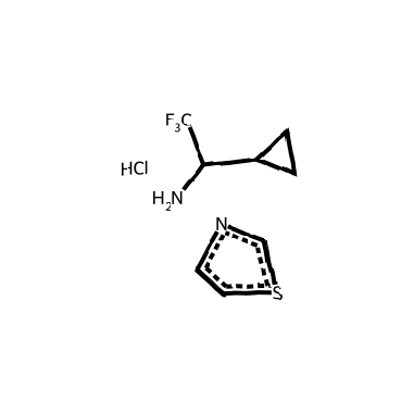 Cl.NC(C1CC1)C(F)(F)F.c1cscn1